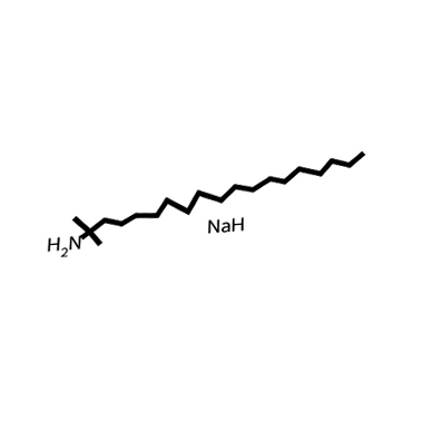 CCCCCCCCCCCCCCCCCC(C)(C)N.[NaH]